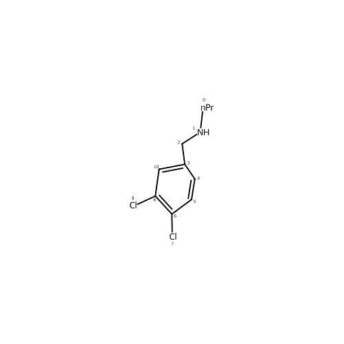 CCCNCc1ccc(Cl)c(Cl)c1